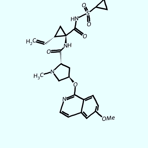 C=C[C@@H]1C[C@]1(NC(=O)[C@@H]1C[C@@H](Oc2nccc3cc(OC)ccc23)CN1C)C(=O)NS(=O)(=O)C1CC1